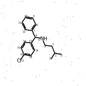 CC(C)CCNC(c1ccccc1)c1ccc(Cl)cc1